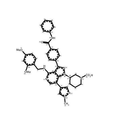 COc1ccc(CNc2ncc(-c3cnn(C)c3)c3c2c(-c2ccc(C(=O)Nc4ccccc4)cc2)nn3[C@@H]2CCCN(C(=O)O)C2)c(OC)c1